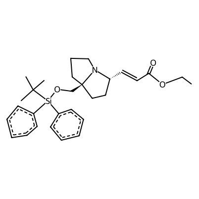 CCOC(=O)/C=C/[C@@H]1CC[C@]2(CO[Si](c3ccccc3)(c3ccccc3)C(C)(C)C)CCCN12